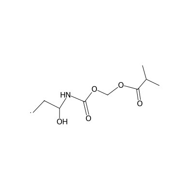 [CH2]CC(O)NC(=O)OCOC(=O)C(C)C